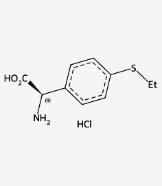 CCSc1ccc([C@@H](N)C(=O)O)cc1.Cl